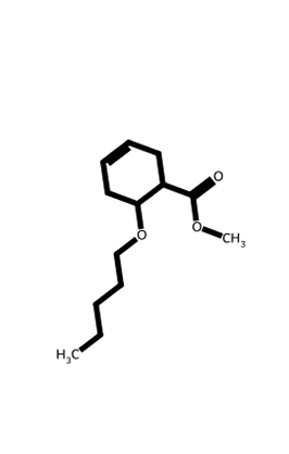 CCCCCOC1CC=CCC1C(=O)OC